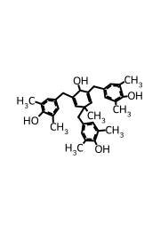 Cc1cc(CC2=CC(C)(Cc3cc(C)c(O)c(C)c3)C=C(Cc3cc(C)c(O)c(C)c3)C2O)cc(C)c1O